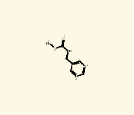 CC(C)(C)OC(=O)NCc1cncnc1